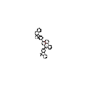 CC1(C)c2ccccc2-c2cc(N(c3ccc(-c4ccc5c(c4)oc4ccc6ccccc6c45)cc3)c3ccccc3-c3ccccc3)ccc21